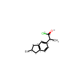 CCC1Cc2ccc(C(C)C(=O)Cl)cc2C1